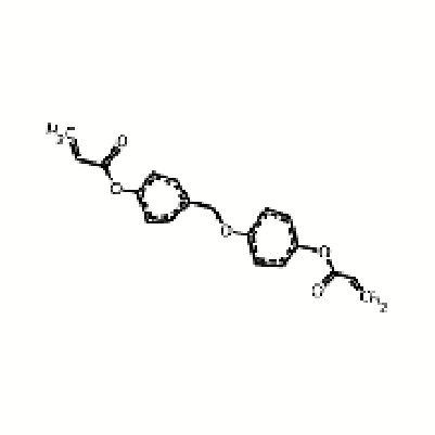 C=CC(=O)Oc1ccc(COc2ccc(OC(=O)C=C)cc2)cc1